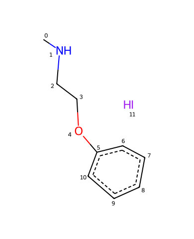 CNCCOc1ccccc1.I